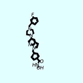 O=C(NO)c1ccc(Cn2ccc3cc(N4CCN(Cc5cccc(F)c5)CC4)cnc32)cc1